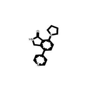 O=C1NCc2c(-c3ccncc3)ccc(N3CCCC3)c21